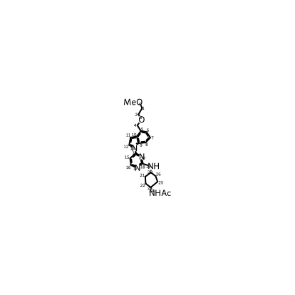 COCCOCc1cccc2c1ccn2-c1ccnc(N[C@H]2CC[C@H](NC(C)=O)CC2)n1